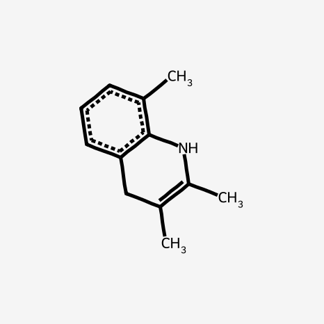 CC1=C(C)Nc2c(C)cccc2C1